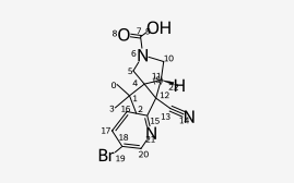 CC(C)(C)C12CN(C(=O)O)C[C@@H]1C2(C#N)c1ccc(Br)cn1